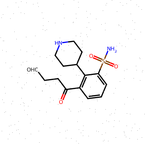 NS(=O)(=O)c1cccc(C(=O)CCC=O)c1C1CCNCC1